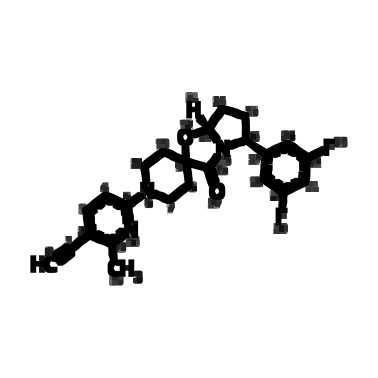 C#Cc1ccc(N2CCC3(CC2)O[C@@H]2CC[C@@H](c4cc(F)cc(F)c4)N2C3=O)nc1C